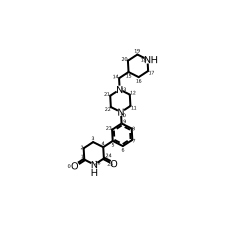 O=C1CCC(c2cccc(N3CCN(CC4CCNCC4)CC3)c2)C(=O)N1